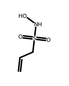 C=CCS(=O)(=O)NO